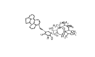 CC(C)[Si]1(C(C)C)OC[C@H]2O[C@@H](n3cc(C#Cc4ccc5c6cccc7cccc(c8cccc4c85)c76)c(=O)[nH]c3=O)[C@H](O)C2O[Si](C(C)C)(C(C)C)O1